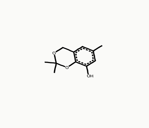 Cc1cc(O)c2c(c1)COC(C)(C)O2